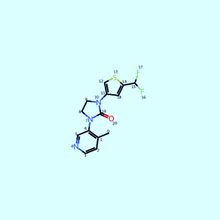 Cc1ccncc1N1CCN(c2csc(C(F)F)c2)C1=O